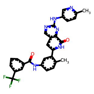 Cc1ccc(Nc2ncc3cc(-c4cc(NC(=O)c5cccc(C(F)(F)F)c5)ccc4C)[nH]c(=O)c3n2)cn1